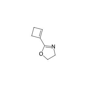 C1=C(C2=NCCO2)CC1